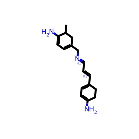 CC1CC(C/N=C/C=C/C2=CC=C(N)CC2)=CC=C1N